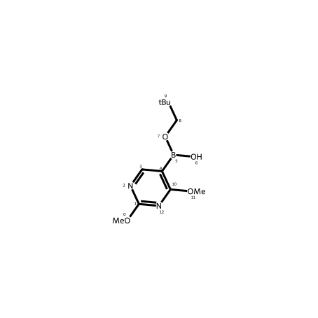 COc1ncc(B(O)OCC(C)(C)C)c(OC)n1